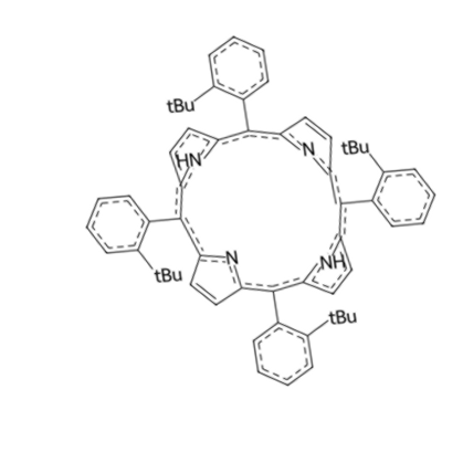 CC(C)(C)c1ccccc1-c1c2nc(c(-c3ccccc3C(C)(C)C)c3ccc([nH]3)c(-c3ccccc3C(C)(C)C)c3nc(c(-c4ccccc4C(C)(C)C)c4ccc1[nH]4)C=C3)C=C2